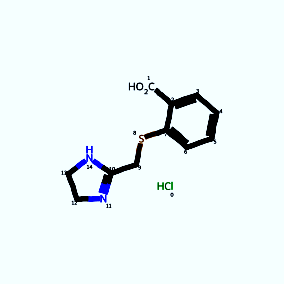 Cl.O=C(O)c1ccccc1SCC1=NCCN1